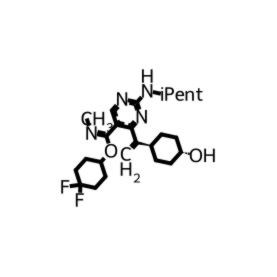 C=C(c1nc(NC(C)CCC)ncc1/C(=N\C)OC1CCC(F)(F)CC1)[C@H]1CC[C@H](O)CC1